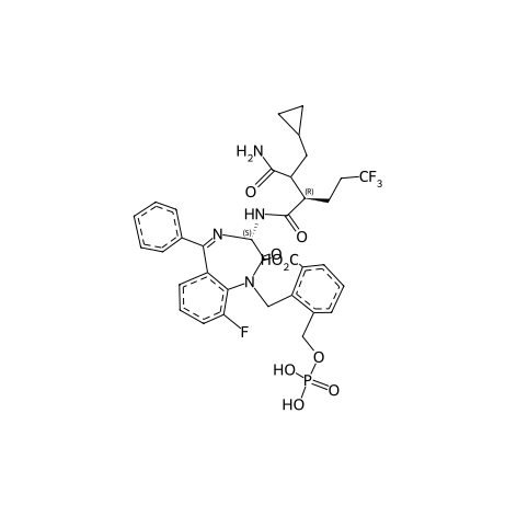 NC(=O)C(CC1CC1)[C@@H](CCC(F)(F)F)C(=O)N[C@H]1N=C(c2ccccc2)c2cccc(F)c2N(Cc2c(COP(=O)(O)O)cccc2C(=O)O)C1=O